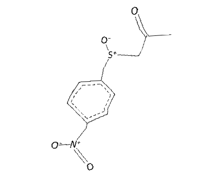 CC(=O)C[S+]([O-])c1ccc([N+](=O)[O-])cc1